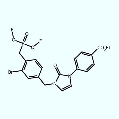 CCOC(=O)c1ccc(-n2ccn(Cc3ccc(CP(=O)(OF)OF)c(Br)c3)c2=O)cc1